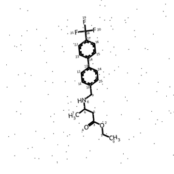 CCOC(=O)CC(C)NCc1ccc(-c2ccc(C(F)(F)F)cc2)cc1